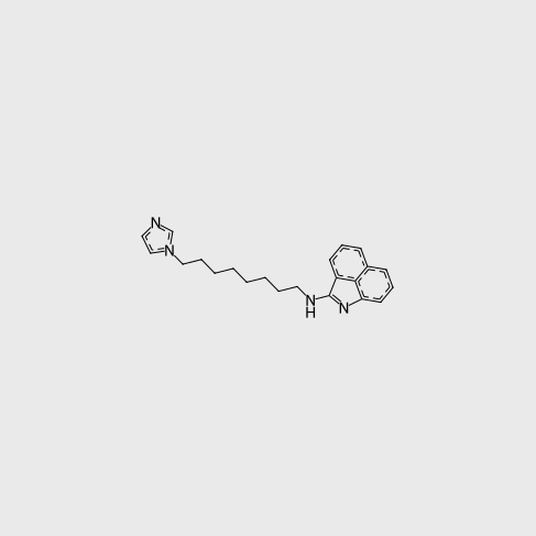 c1cc2c3c(cccc3c1)C(NCCCCCCCCn1ccnc1)=N2